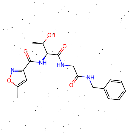 Cc1cc(C(=O)N[C@H](C(=O)NCC(=O)NCc2ccccc2)[C@@H](C)O)no1